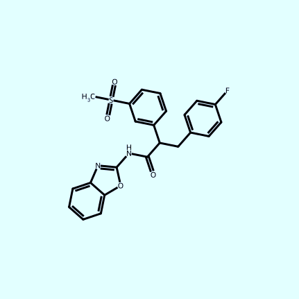 CS(=O)(=O)c1cccc(C(Cc2ccc(F)cc2)C(=O)Nc2nc3ccccc3o2)c1